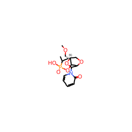 COC[C@@]12COC(C(n3ccccc3=O)O1)C2OP(=O)(O)C(C)C